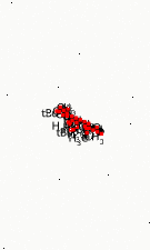 CN(C(=O)OC(C)(C)C)c1ncnc2c1ccn2[C@@H]1C[C@H](CN(CCCN(Cc2cccc(Oc3ccccc3)c2)C(=O)OCC[Si](C)(C)C)CC[C@H](NC(=O)OC(C)(C)C)C(=O)O)[C@H]2OC(C)(C)O[C@H]21